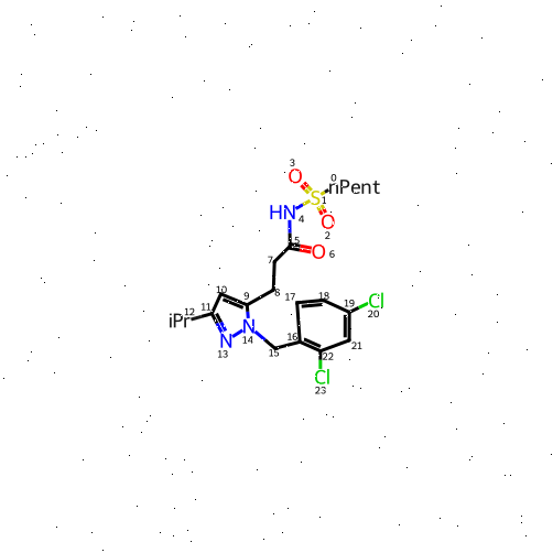 CCCCCS(=O)(=O)NC(=O)CCc1cc(C(C)C)nn1Cc1ccc(Cl)cc1Cl